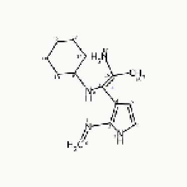 C=Nc1[nH]ccc1/C(NC1CCCCC1)=C(\C)N